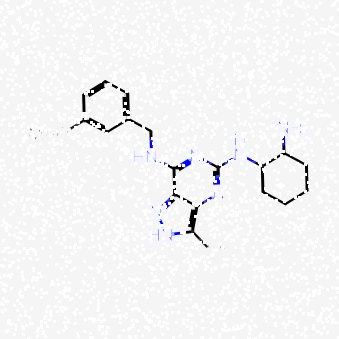 COc1cccc(CNc2nc(NC3CCCCC3N)nc3c(C(C)C)[nH]nc23)c1